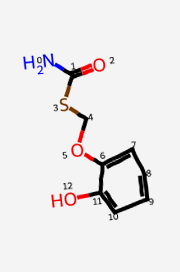 NC(=O)SCOc1ccccc1O